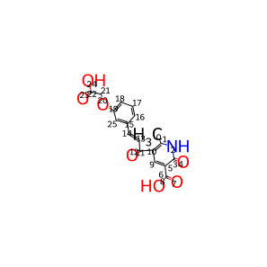 Cc1[nH]c(=O)c(C(=O)O)cc1C(=O)C=Cc1cccc(OCC(=O)O)c1